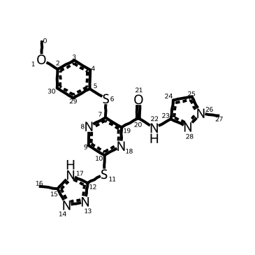 COc1ccc(Sc2ncc(Sc3nnc(C)[nH]3)nc2C(=O)Nc2ccn(C)n2)cc1